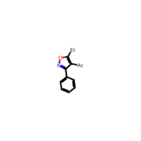 CCc1onc(-c2ccccc2)c1C(C)=O